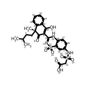 CC(C)CC[C@@]1(C)C(=O)C(C2=NS(=O)(=O)c3cc(NS(=O)(=O)CC(=O)O)ccc3N2)=C(O)c2ccccc21